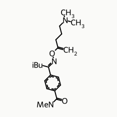 C=C(CCCN(C)C)O/N=C(/c1ccc(C(=O)NC)cc1)C(C)CC